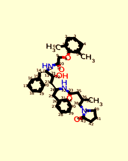 Cc1cccc(C)c1OCC(=O)N[C@@H](Cc1ccccc1)[C@@H](O)C[C@H](Cc1ccccc1)NC(=O)CC(C)CN1CCCC1=O